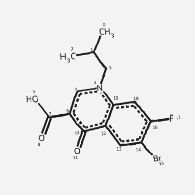 CC(C)Cn1cc(C(=O)O)c(=O)c2cc(Br)c(F)cc21